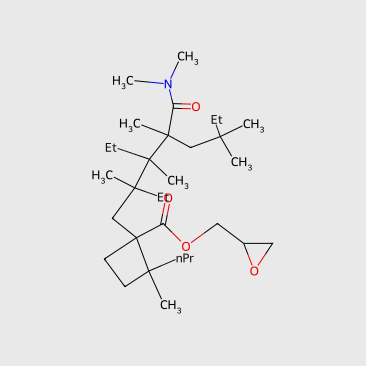 CCCC1(C)CCC1(CC(C)(CC)C(C)(CC)C(C)(CC(C)(C)CC)C(=O)N(C)C)C(=O)OCC1CO1